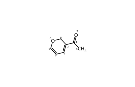 CC(=O)C1=CC=COC1